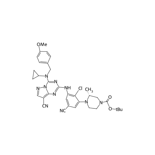 COc1ccc(CN(c2nc(Nc3cc(C#N)cc(N4CCN(C(=O)OC(C)(C)C)C[C@H]4C)c3Cl)nc3c(C#N)cnn23)C2CC2)cc1